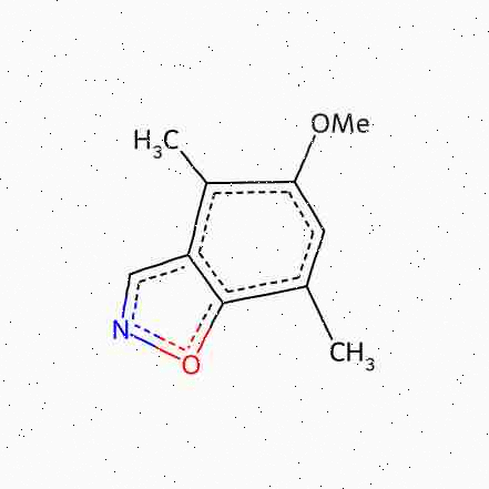 COc1cc(C)c2oncc2c1C